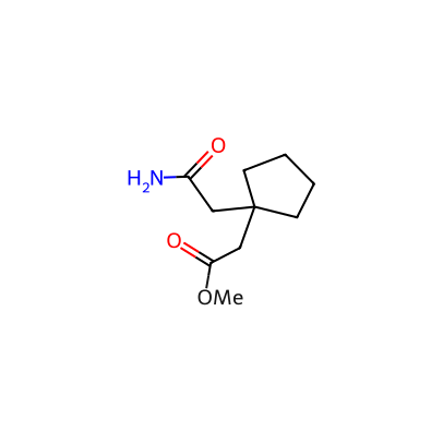 COC(=O)CC1(CC(N)=O)CCCC1